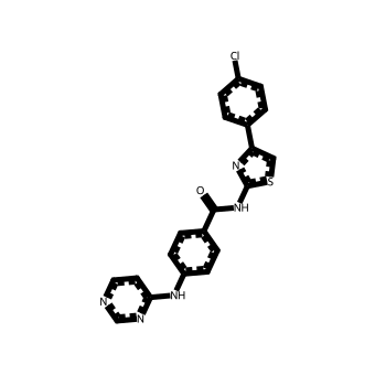 O=C(Nc1nc(-c2ccc(Cl)cc2)cs1)c1ccc(Nc2ccncn2)cc1